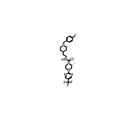 C[C@@H]1CN(c2ncc(C(F)(F)F)cn2)CCN1C(=O)NCCC1CCN(Cc2ccc(F)cc2)CC1